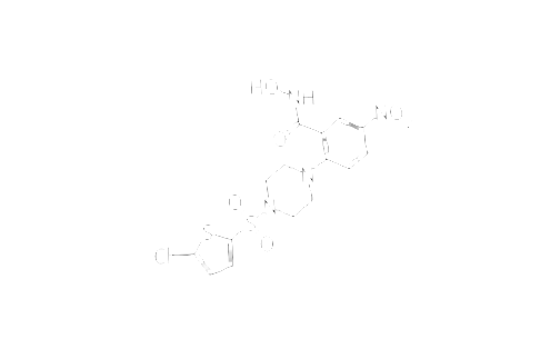 O=C(NO)c1cc([N+](=O)[O-])ccc1N1CCN(S(=O)(=O)c2ccc(Cl)s2)CC1